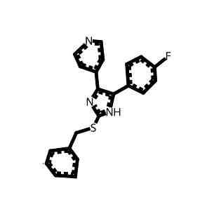 Fc1ccc(-c2[nH]c(SCc3c[c]ccc3)nc2-c2ccncc2)cc1